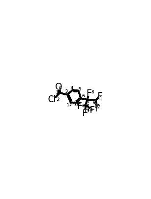 O=C(Cl)c1ccc(C(F)(C(F)F)C(F)(F)F)cc1